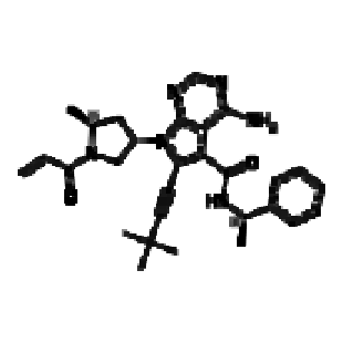 C=CC(=O)N1CC(n2c(C#CC(C)(C)C)c(C(=O)N[C@H](C)c3ccccc3)c3c(N)ncnc32)C[C@@H]1C